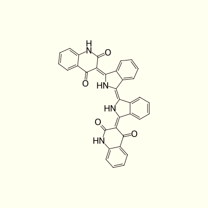 O=C1Nc2ccccc2C(=O)C1=c1[nH]c(=c2[nH]c(=C3C(=O)Nc4ccccc4C3=O)c3ccccc23)c2ccccc12